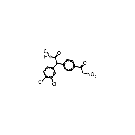 O=C(C[N+](=O)[O-])c1ccc(C(C(=O)NCl)c2ccc(Cl)c(Cl)c2)cc1